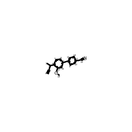 C#CC(C)c1ccc(-c2ccc(C#N)cc2)cc1OC